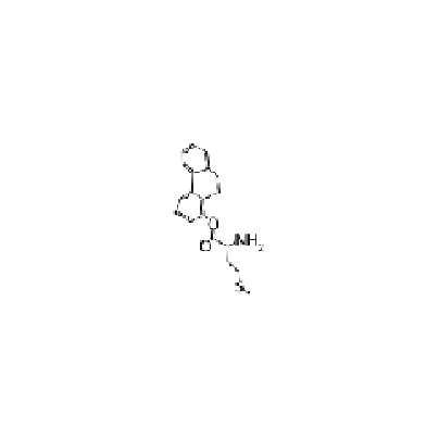 CSCC[C@H](N)C(=O)Oc1cccc2c1ccc1ccccc12